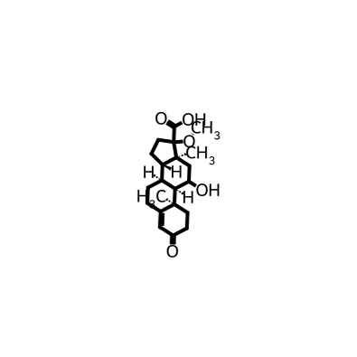 COC1(C(=O)O)CC[C@H]2[C@@H]3CCC4=CC(=O)CC[C@]4(C)[C@@H]3C(O)C[C@@]21C